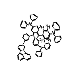 [2H]c1c([2H])c(N(c2ccccc2)c2ccccc2)c([2H])c([2H])c1-c1c2ccc(N(c3ccccc3)c3ccccc3)cc2c(-c2cccc(-c3ccc4c(c3)-c3cccc5cccc-4c35)c2)c2ccc(N(c3ccccc3)c3ccccc3)cc12